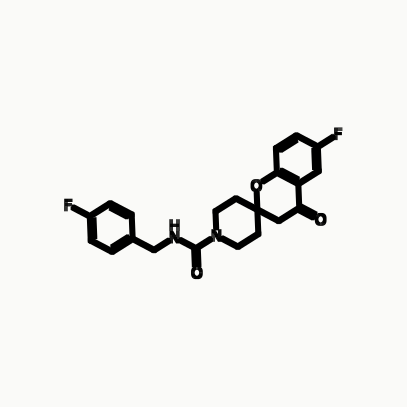 O=C1CC2(CCN(C(=O)NCc3ccc(F)cc3)CC2)Oc2ccc(F)cc21